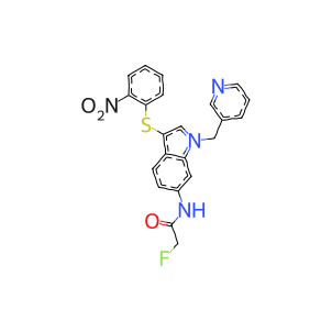 O=C(CF)Nc1ccc2c(Sc3ccccc3[N+](=O)[O-])cn(Cc3cccnc3)c2c1